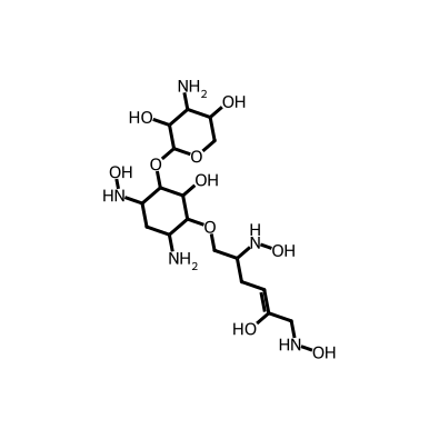 NC1CC(NO)C(OC2OCC(O)C(N)C2O)C(O)C1OCC(C/C=C(\O)CNO)NO